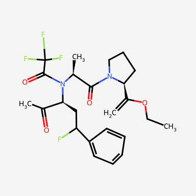 C=C(OCC)[C@@H]1CCCN1C(=O)[C@H](C)N(C(=O)C(F)(F)F)[C@@H](CC(F)c1ccccc1)C(C)=O